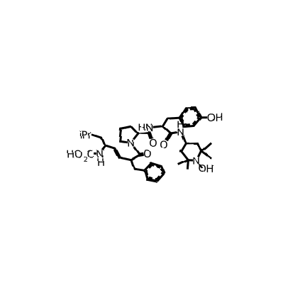 CC(C)CC(/C=C/C(Cc1ccccc1)C(=O)N1CCC[C@H]1C(=O)NC(Cc1ccc(O)cc1)C(=O)NC1CC(C)(C)N(O)C(C)(C)C1)NC(=O)O